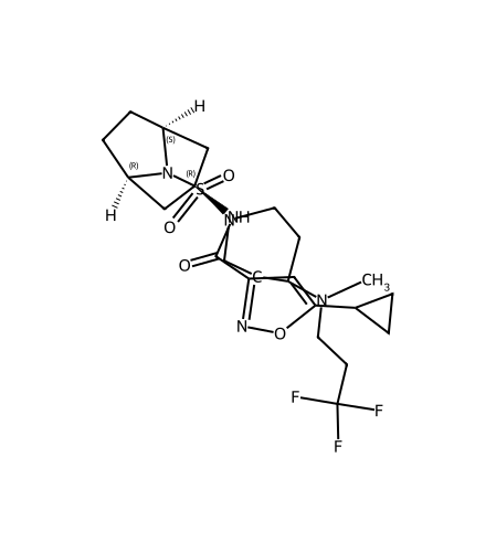 CN(CCC(F)(F)F)C1CCN(S(=O)(=O)N2[C@@H]3CC[C@H]2C[C@@H](NC(=O)c2cc(C4CC4)on2)C3)CC1